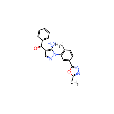 Cc1nnc(-c2ccc(C)c(-n3ncc(C(=O)c4ccccc4)c3N)c2)o1